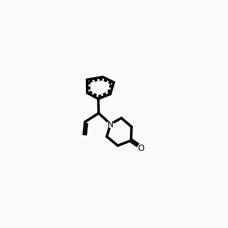 C=CC(c1ccccc1)N1CCC(=O)CC1